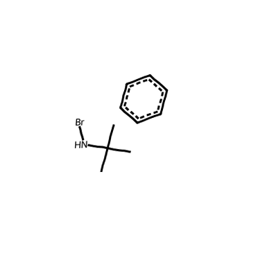 CC(C)(C)NBr.c1ccccc1